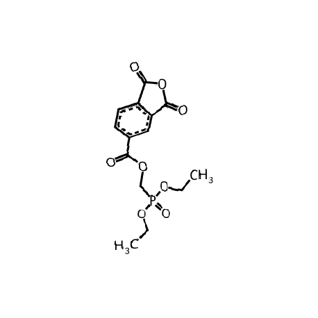 CCOP(=O)(COC(=O)c1ccc2c(c1)C(=O)OC2=O)OCC